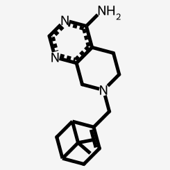 CC1(C)C2CC=C(CN3CCc4c(N)ncnc4C3)C1C2